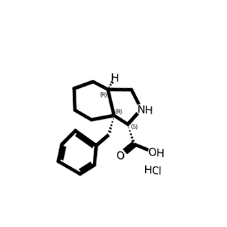 Cl.O=C(O)[C@H]1NC[C@@H]2CCCC[C@@]21Cc1ccccc1